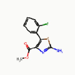 COC(=O)c1nc(N)sc1-c1ccccc1F